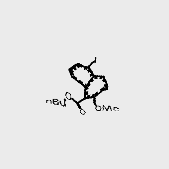 CCCCOC(=O)c1c(OC)ccc2c(I)cccc12